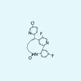 O=C1CCC/C=C(/c2ccc(Cl)cn2)c2cc(ncc2F)-c2cc(F)ccc2N1